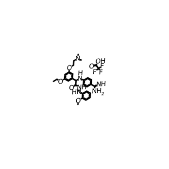 CCOc1cc(OCCN(C)C)cc(C(Nc2ccc(C(=N)N)cc2)C(=O)NNc2ccccc2OC)c1.O=C(O)C(F)(F)F